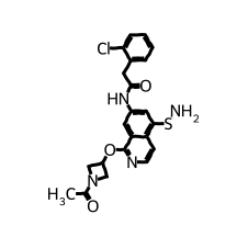 CC(=O)N1CC(Oc2nccc3c(SN)cc(NC(=O)Cc4ccccc4Cl)cc23)C1